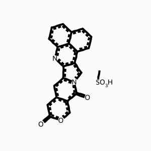 CS(=O)(=O)O.O=c1cc2cc3c4nc5cccc6cccc(c4cn3c(=O)c2co1)c65